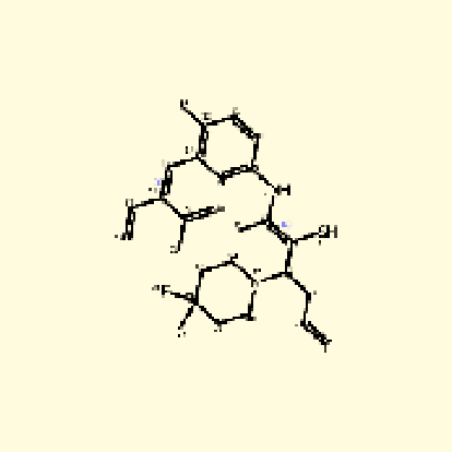 C=CCC(/C(S)=C(\C)Nc1ccc(C)c(/C=C(/C=C)C(=C)C)c1)N1CCC(C)(F)CC1